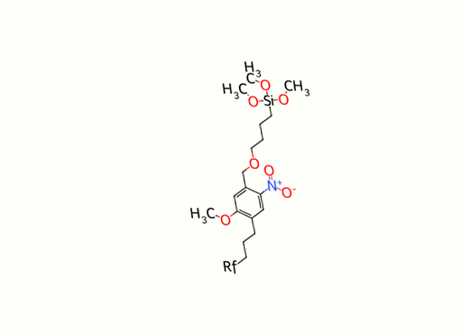 COc1cc(COCCCC[Si](OC)(OC)OC)c([N+](=O)[O-])cc1CC[CH2][Rf]